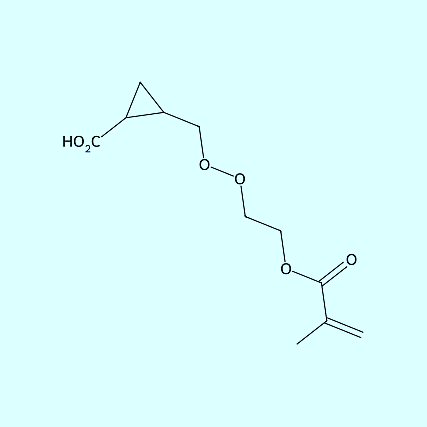 C=C(C)C(=O)OCCOOCC1CC1C(=O)O